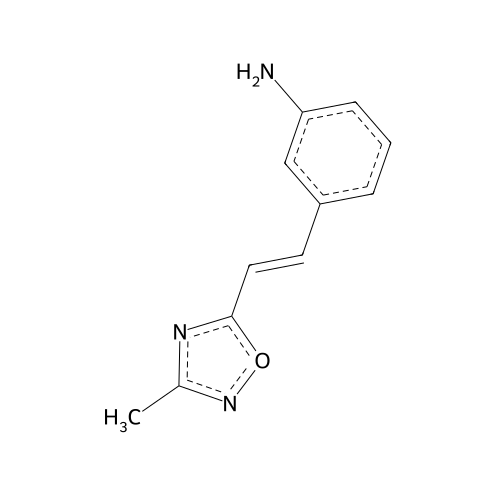 Cc1noc(C=Cc2cccc(N)c2)n1